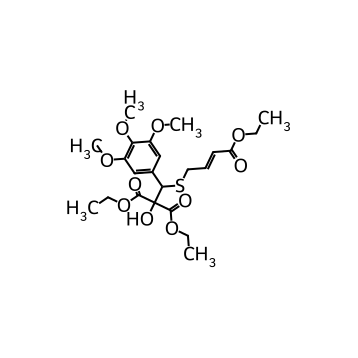 CCOC(=O)/C=C/CSC(c1cc(OC)c(OC)c(OC)c1)C(O)(C(=O)OCC)C(=O)OCC